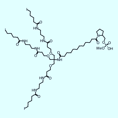 COP(=O)(O)OCC1CCCN1C(=O)CCCCCCCCCCC(=O)NC(COCCC(=O)NCCCNC(=O)CCCCI)(COCCC(=O)NCCCNC(=O)CCCCI)COCCC(=O)NCCCNC(=O)CCCCI